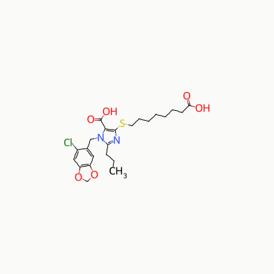 CCCc1nc(SCCCCCCCC(=O)O)c(C(=O)O)n1Cc1cc2c(cc1Cl)OCO2